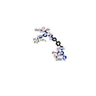 COC(=O)NC(C(=O)N1C[C@H](n2cc(S(C)(C)C)nn2)C[C@H]1c1ncc(-c2ccc(-c3ccc(-c4cnc([C@@H]5C[C@@H](n6ccnn6)CN5C(=O)[C@@H](NC(=O)OC)C(C)C)[nH]4)cc3)cc2)[nH]1)C(C)C